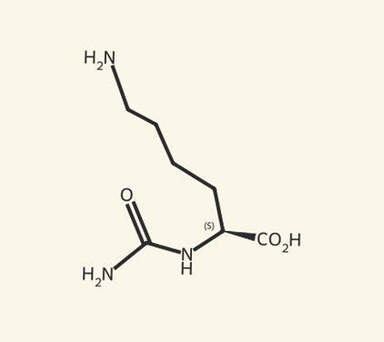 NCCCC[C@H](NC(N)=O)C(=O)O